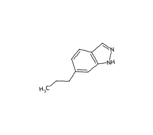 CCCc1ccc2cn[nH]c2c1